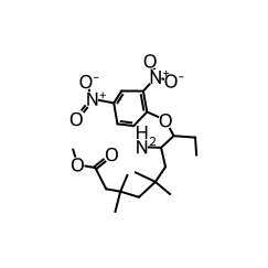 CCC(Oc1ccc([N+](=O)[O-])cc1[N+](=O)[O-])C(N)CC(C)(C)CC(C)(C)CC(=O)OC